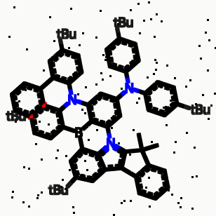 CC(C)(C)c1ccc(N(c2ccc(C(C)(C)C)cc2)c2cc3c4c(c2)-n2c5c(c6cc(C(C)(C)C)cc(c62)B4c2ccc(C(C)(C)C)cc2N3c2ccc(C(C)(C)C)cc2-c2ccccc2)-c2ccccc2C5(C)C)cc1